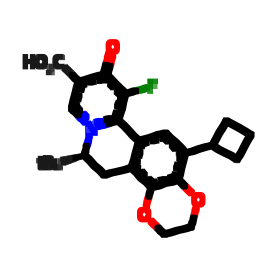 CC(C)(C)[C@@H]1Cc2c(cc(C3CCC3)c3c2OCCO3)-c2c(F)c(=O)c(C(=O)O)cn21